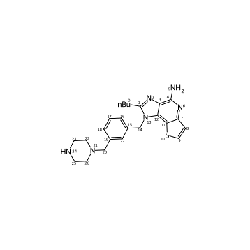 CCCCc1nc2c(N)nc3ccsc3c2n1Cc1cccc(CN2CCNCC2)c1